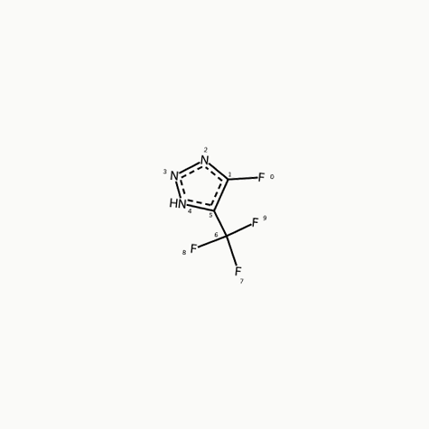 Fc1nn[nH]c1C(F)(F)F